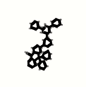 O=C1c2ccccc2C(c2ccccc2)(c2ccccc2)c2cc(-c3cccc(-c4cc(-c5ccccc5)nc(-c5ccccc5)n4)c3)ccc21